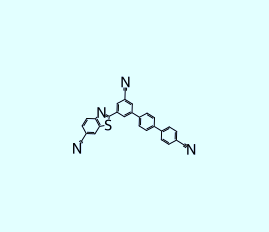 N#Cc1ccc(-c2ccc(-c3cc(C#N)cc(-c4nc5ccc(C#N)cc5s4)c3)cc2)cc1